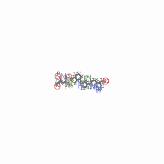 COc1nc(OC2CCc3c(-c4nccc(-c5ccc6c(C=O)cn(C)c6n5)c4Cl)cccc32)c(C(F)(F)F)cc1C=O